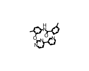 Cc1cccc(C(=O)Nc2ccc(C)c(Oc3nccc(-c4cccnc4)n3)c2)c1